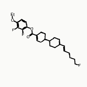 CCOc1ccc(OC(=O)C2=CCC(C3CCC(/C=C/CCCCF)CC3)CC2)c(F)c1F